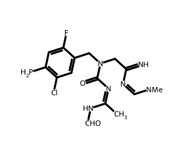 CN/C=N\C(=N)CN(Cc1cc(Cl)c(P)cc1F)C(=O)/N=C(/C)NC=O